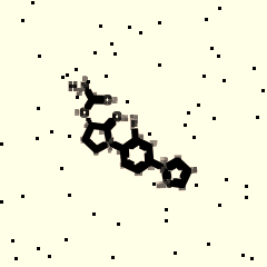 NC(=O)O[C@H]1CCN(c2ccc(-n3cccn3)cc2F)C1=O